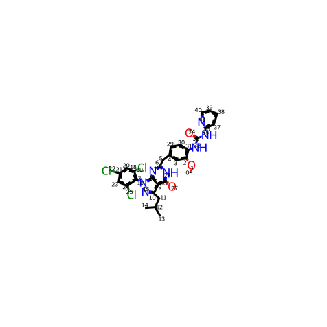 COc1cc(Cc2nc3c(c(CC(C)C)nn3-c3c(Cl)cc(Cl)cc3Cl)c(=O)[nH]2)ccc1NC(=O)Nc1ccccn1